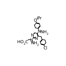 CC(C)OC1=CC=C(N(N)c2cnc(N(N)CC(=O)O)nc2CC2=CC=C(Cl)CC2)CC1